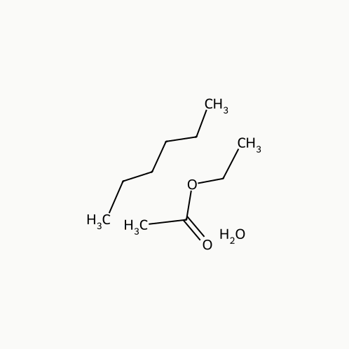 CCCCCC.CCOC(C)=O.O